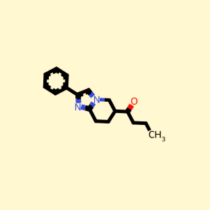 CCCC(=O)C1CCc2nc(-c3ccccc3)cn2C1